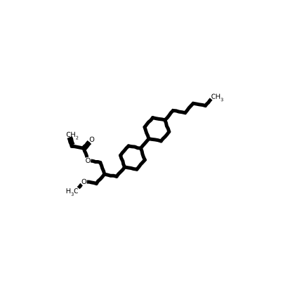 C=CC(=O)OCC(COC)CC1CCC(C2CCC(CCCCC)CC2)CC1